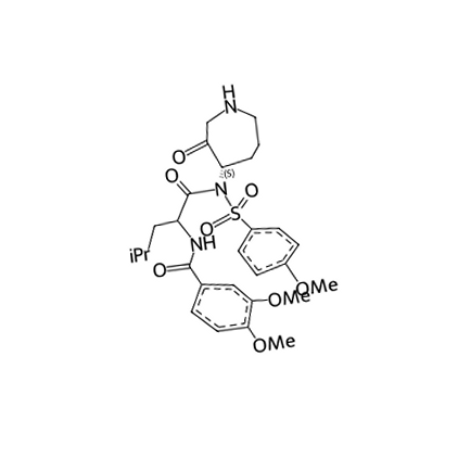 COc1ccc(S(=O)(=O)N(C(=O)C(CC(C)C)NC(=O)c2ccc(OC)c(OC)c2)[C@H]2CCCNCC2=O)cc1